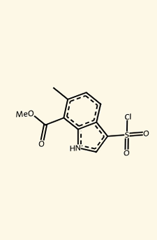 COC(=O)c1c(C)ccc2c(S(=O)(=O)Cl)c[nH]c12